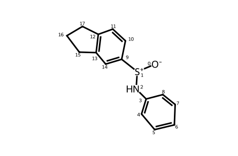 [O-][S+](Nc1ccccc1)c1ccc2c(c1)CCC2